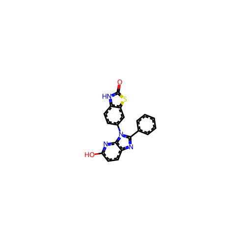 O=c1[nH]c2ccc(-n3c(-c4ccccc4)nc4ccc(O)nc43)cc2s1